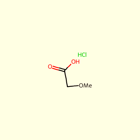 COCC(=O)O.Cl